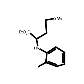 CCOC(=O)C(CCSC)Nc1ccccc1C